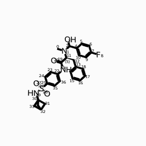 CN(C(O)c1ccc(F)cc1)[C@@H](Cc1ccccc1)C(=O)Nc1ccc(S(=O)(=O)NC23CC(C2)C3)cc1